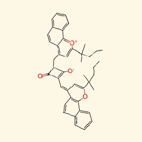 CCCC(C)(C)C1=C/C(=C\C2=C([O-])C(Cc3cc(C(C)(C)CCC)[o+]c4c3ccc3ccccc34)C2=O)c2ccc3ccccc3c2O1